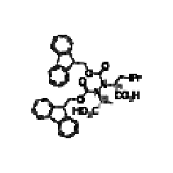 CC(C)C[C@H](C(=O)O)N(C(=O)OCC1c2ccccc2-c2ccccc21)N(C(=O)OCC1c2ccccc2-c2ccccc21)[C@H](C)C(=O)O